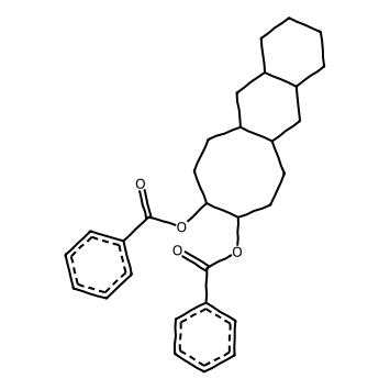 O=C(OC1CCC2CC3CCCCC3CC2CCC1OC(=O)c1ccccc1)c1ccccc1